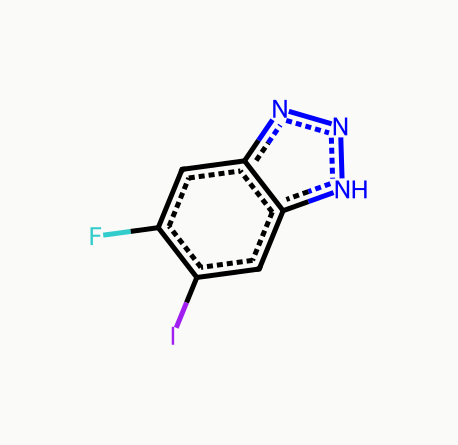 Fc1cc2nn[nH]c2cc1I